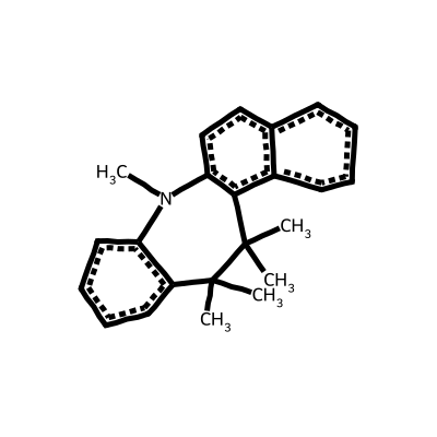 CN1c2ccccc2C(C)(C)C(C)(C)c2c1ccc1ccccc21